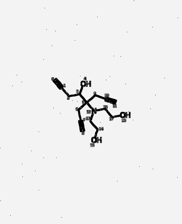 C#CCC(O)C(CC#C)(CC#C)N(CCO)CCO